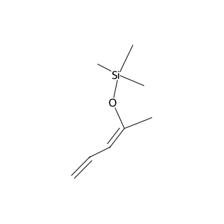 C=CC=C(C)O[Si](C)(C)C